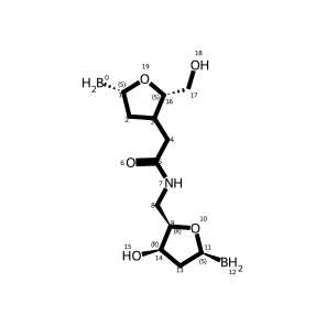 B[C@H]1CC(CC(=O)NC[C@H]2O[C@@H](B)C[C@H]2O)[C@@H](CO)O1